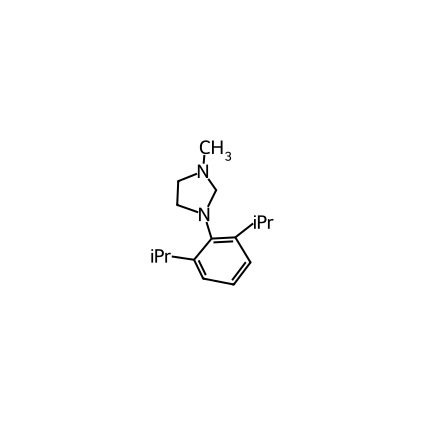 CC(C)c1cccc(C(C)C)c1N1CCN(C)C1